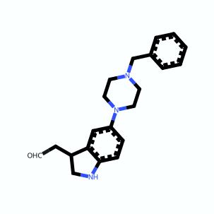 O=CCC1CNc2ccc(N3CCN(Cc4ccccc4)CC3)cc21